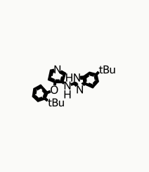 CC(C)(C)c1ccc2nc(Nc3cnccc3Oc3ccccc3C(C)(C)C)[nH]c2c1